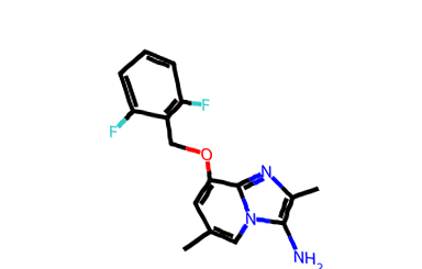 Cc1cc(OCc2c(F)cccc2F)c2nc(C)c(N)n2c1